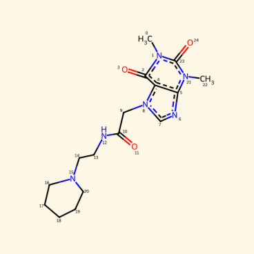 Cn1c(=O)c2c(ncn2CC(=O)NCCN2CCCCC2)n(C)c1=O